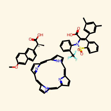 C1=Cc2cc3ccc(cc4nc(cc5ccc(cc1n2)[nH]5)C=C4)[nH]3.COc1ccc2cc([C@H](C)C(=O)O)ccc2c1.Cc1cc(C)cc(C2=C(C(=O)O)N(c3ccccc3C(F)(F)F)S(=O)(=O)c3ccccc32)c1